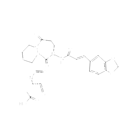 O=C[C@H](CC(=O)O)NC(=O)[C@@H]1CCCN2C(=O)CCN(NC(=O)/C=C/c3ccc4c(c3)OCO4)C(=O)N12